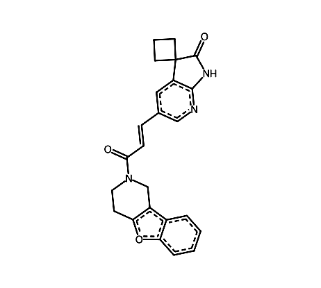 O=C(C=Cc1cnc2c(c1)C1(CCC1)C(=O)N2)N1CCc2oc3ccccc3c2C1